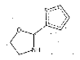 c1csc([C]2NCCO2)c1